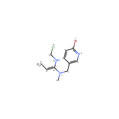 CN(Cc1ccc(Br)nc1)C(=C[N+](=O)[O-])NCCl